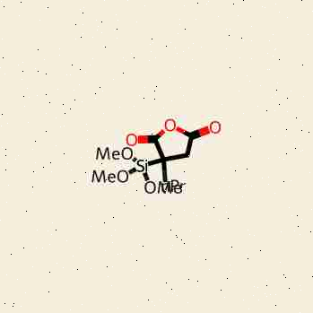 CCCC1([Si](OC)(OC)OC)CC(=O)OC1=O